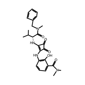 CC(C)[C@@H](Nc1c(Nc2cccc(C(=O)N(C)C)c2O)c(=O)c1=O)C(=O)N(C)Cc1ccccc1